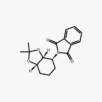 CC1(C)O[C@H]2[C@H](CCC[C@@H]2N2C(=O)c3ccccc3C2=O)O1